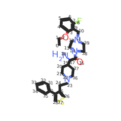 CCOc1cccc(F)c1CN1CCN(C(=O)[C@H](N)C2CCN(CCc3cscc3-c3ccccc3)CC2)CC1